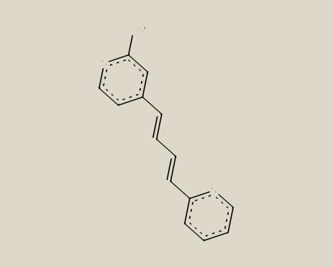 COc1cc(C=CC=Cc2ccccn2)ccn1